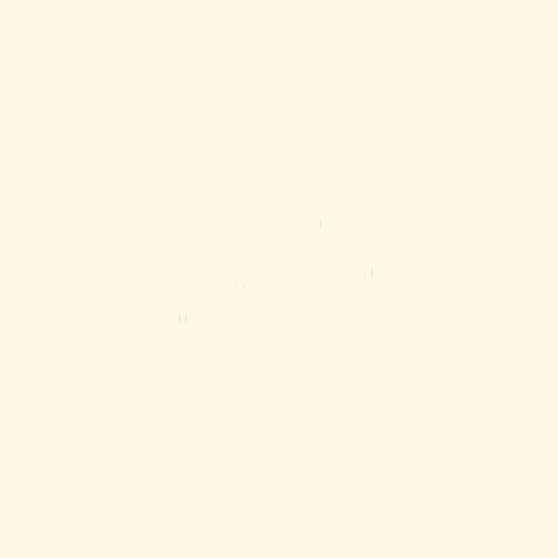 CC1=CC2=C(OC(C)CC2)C(F)C1F